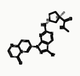 CNC(=O)[C@]1(C)CC[C@@H](Nc2ncc3c(Br)nn(-c4ccc5nccc(=O)n5c4)c3n2)C1